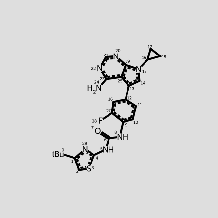 CC(C)(C)c1csc(NC(=O)Nc2ccc(-c3cn(C4CC4)c4ncnc(N)c34)cc2F)n1